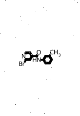 Cc1cccc(NC(=O)c2ccnc(Br)c2)c1